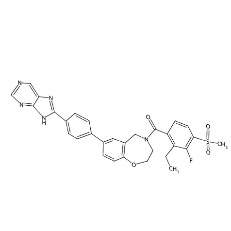 CCc1c(C(=O)N2CCOc3ccc(-c4ccc(-c5nc6cncnc6[nH]5)cc4)cc3C2)ccc(S(C)(=O)=O)c1F